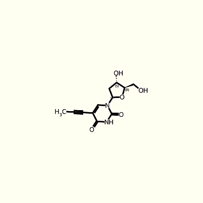 CC#Cc1cn([C]2C[C@H](O)[C@@H](CO)O2)c(=O)[nH]c1=O